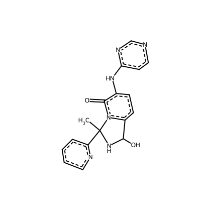 CC1(c2ccccn2)NC(O)c2ccc(Nc3ccncn3)c(=O)n21